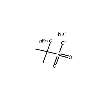 CCCCCC(C)(C)S(=O)(=O)[O-].[Na+]